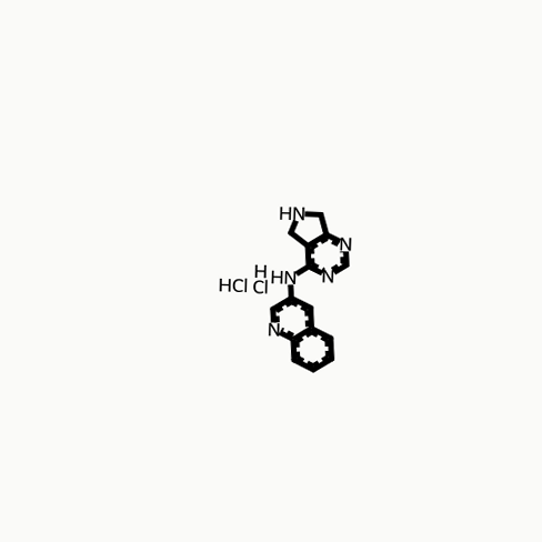 Cl.Cl.c1ccc2ncc(Nc3ncnc4c3CNC4)cc2c1